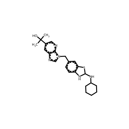 CC(C)(O)c1cnc2c(c1)ncn2Cc1ccc2c(c1)SC(NC1CCCCC1)N2